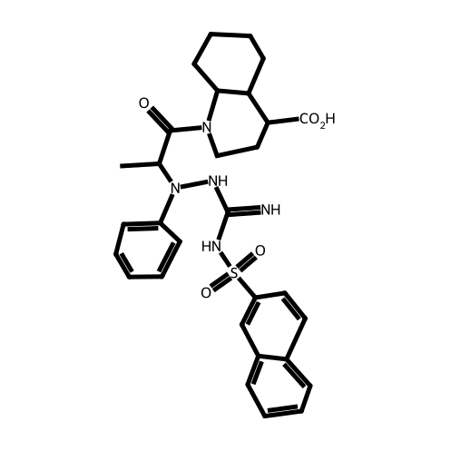 CC(C(=O)N1CCC(C(=O)O)C2CCCCC21)N(NC(=N)NS(=O)(=O)c1ccc2ccccc2c1)c1ccccc1